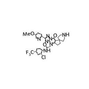 COc1ccc(-c2nc3n(CC(=O)Nc4ccc(C(F)(F)F)cc4Cl)c4c(c(=O)n3n2)C2(CCNCC2)CC4)nc1